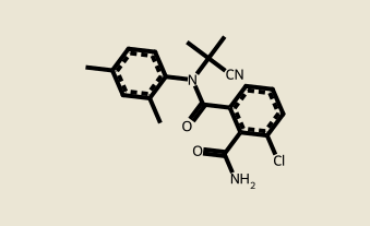 Cc1ccc(N(C(=O)c2cccc(Cl)c2C(N)=O)C(C)(C)C#N)c(C)c1